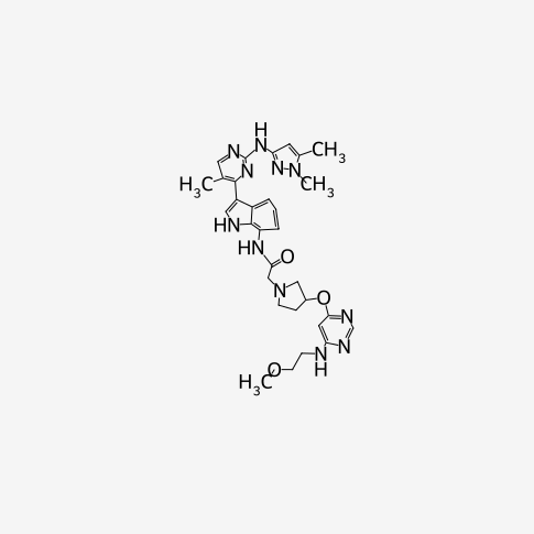 COCCNc1cc(OC2CCN(CC(=O)Nc3cccc4c(-c5nc(Nc6cc(C)n(C)n6)ncc5C)c[nH]c34)C2)ncn1